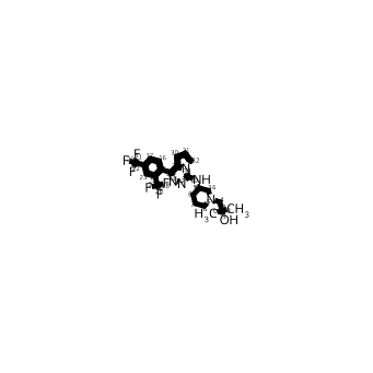 CC(C)(O)CN1CCC[C@@H](Nc2nnc(-c3ccc(C(F)(F)F)cc3C(F)(F)F)c3cccn23)C1